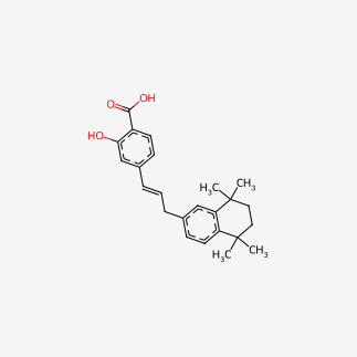 CC1(C)CCC(C)(C)c2cc(CC=Cc3ccc(C(=O)O)c(O)c3)ccc21